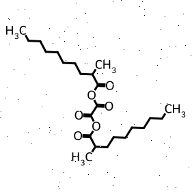 CCCCCCCCC(C)C(=O)OC(=O)C(=O)OC(=O)C(C)CCCCCCCC